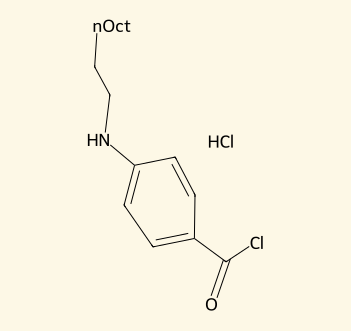 CCCCCCCCCCNc1ccc(C(=O)Cl)cc1.Cl